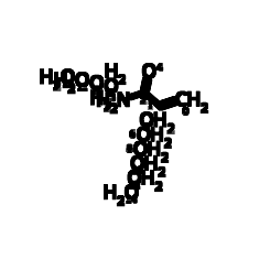 C=CC(N)=O.O.O.O.O.O.O.O.O.O.O